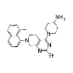 CCc1nc2c(c(N3CCC(N)CC3)n1)CCN(c1cccc3cccc(C)c13)C2